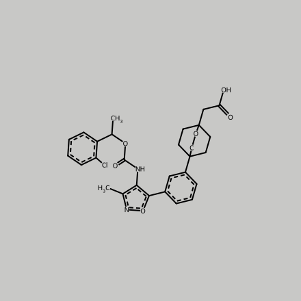 Cc1noc(-c2cccc(C34CCC(CC(=O)O)(CC3)OC4)c2)c1NC(=O)OC(C)c1ccccc1Cl